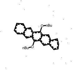 CCCCOc1c2cc3ccccc3cc2c(OCCCC)c2cc3ccccc3cc12